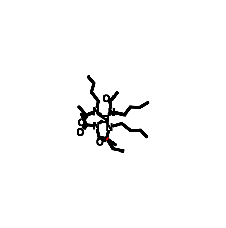 CCCCN(C(C)=O)[Si](N(CCCC)C(C)=O)(N(CCCC)C(C)=O)N(CCCC)C(C)=O